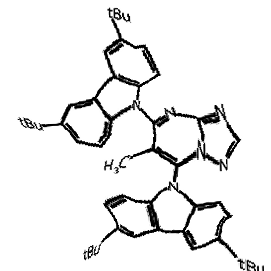 Cc1c(-n2c3ccc(C(C)(C)C)cc3c3cc(C(C)(C)C)ccc32)nc2ncnn2c1-n1c2ccc(C(C)(C)C)cc2c2cc(C(C)(C)C)ccc21